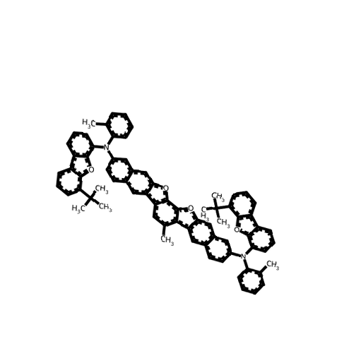 Cc1ccccc1N(c1ccc2cc3c(cc2c1)oc1c3cc(C)c2c3cc4ccc(N(c5ccccc5C)c5cccc6c5oc5c(C(C)(C)C)cccc56)cc4cc3oc12)c1cccc2c1oc1c(C(C)(C)C)cccc12